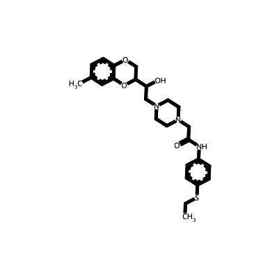 CCSc1ccc(NC(=O)CN2CCN(CC(O)C3COc4ccc(C)cc4O3)CC2)cc1